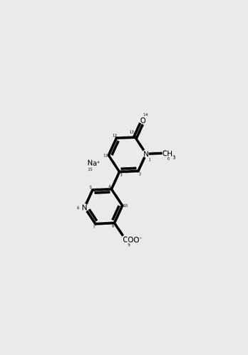 Cn1cc(-c2cncc(C(=O)[O-])c2)ccc1=O.[Na+]